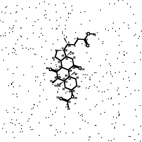 COC(=O)CC[C@@H](C)[C@H]1CCC2C3C(=O)[C@H](C)[C@@H]4C[C@H](OC(C)=O)CC[C@]4(C)C3C(=O)C[C@@]21C